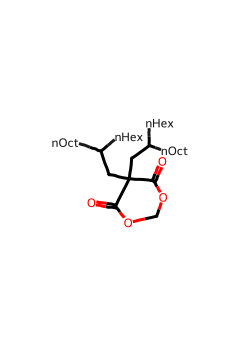 CCCCCCCCC(CCCCCC)CC1(CC(CCCCCC)CCCCCCCC)C(=O)OCOC1=O